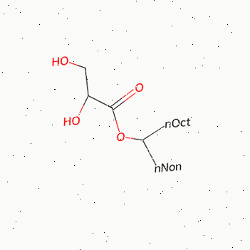 CCCCCCCCCC(CCCCCCCC)OC(=O)C(O)CO